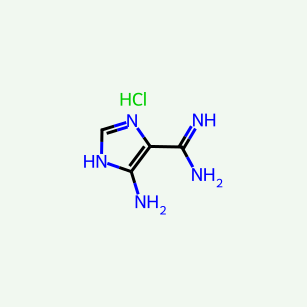 Cl.N=C(N)c1nc[nH]c1N